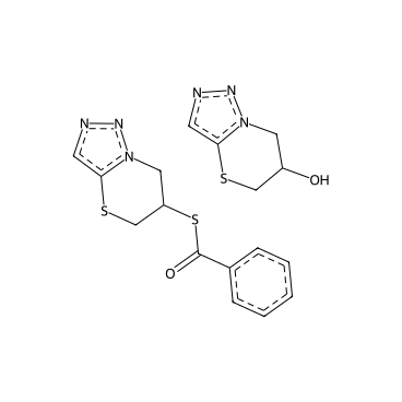 O=C(SC1CSc2cnnn2C1)c1ccccc1.OC1CSc2cnnn2C1